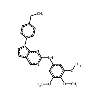 CCc1ccc(-n2ccc3cnc(Nc4cc(OC)c(OC)c(OC)c4)nc32)cc1